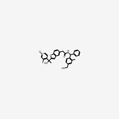 Cc1cc(CO)ccc1C(NC(=O)Cc1ccc2oc(C(C)(O)c3cc[n+]([O-])cc3F)cc2c1)c1ccccc1